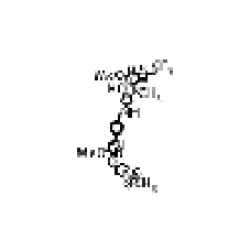 COc1nc(N(C)[C@H]2C[C@@H](NCc3ccc(-c4cc(OC)c(OC5CCN(S(C)(=O)=O)CC5)nn4)cc3)C[C@H]2O)c2cc(CC(F)(F)F)sc2n1